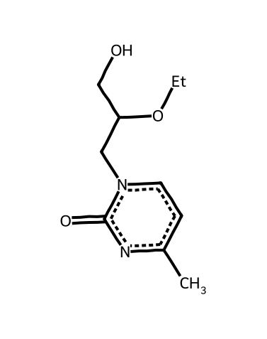 CCOC(CO)Cn1ccc(C)nc1=O